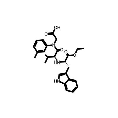 CCOC(=O)[C@H](Cc1c[nH]c2ccccc12)N[C@H](C(=O)N(CC(=O)O)c1cccc(C)c1)C(C)C